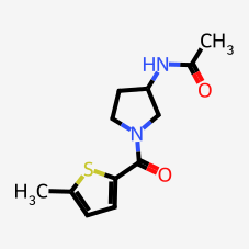 CC(=O)NC1CCN(C(=O)c2ccc(C)s2)C1